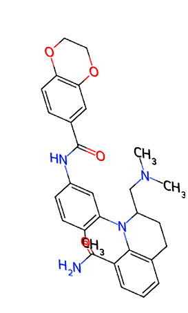 Cc1ccc(NC(=O)c2ccc3c(c2)OCCO3)cc1N1c2c(cccc2C(N)=O)CCC1CN(C)C